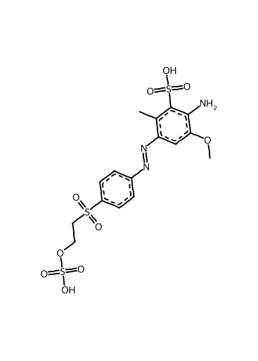 COc1cc(N=Nc2ccc(S(=O)(=O)CCOS(=O)(=O)O)cc2)c(C)c(S(=O)(=O)O)c1N